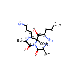 CCC(C)C(N)C(=O)N(C(=O)C(N)C(C)C)C(CCCCN)(C(=O)O)C(=O)C(N)CCC(=O)O